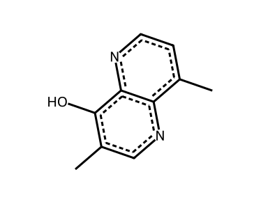 Cc1cnc2c(C)ccnc2c1O